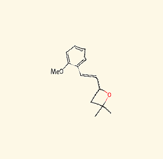 COc1ccccc1/C=C/C1CC(C)(C)O1